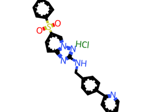 Cl.O=S(=O)(c1ccccc1)c1ccc2nc(NCc3ccc(-c4ccccn4)cc3)nn2c1